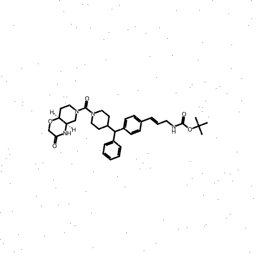 CC(C)(C)OC(=O)NC/C=C/c1ccc(C(c2ccccc2)C2CCN(C(=O)N3CC[C@@H]4OCC(=O)N[C@@H]4C3)CC2)cc1